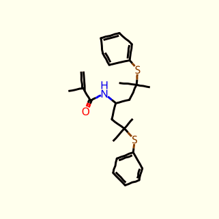 C=C(C)C(=O)NC(CC(C)(C)Sc1ccccc1)CC(C)(C)Sc1ccccc1